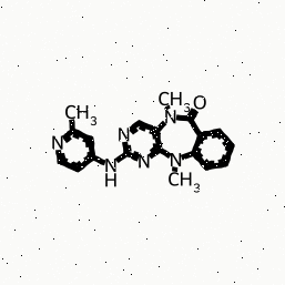 Cc1cc(Nc2ncc3c(n2)N(C)c2ccccc2C(=O)N3C)ccn1